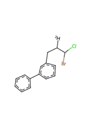 [2H]C(Cc1cccc(-c2ccccc2)c1)[C](Cl)Br